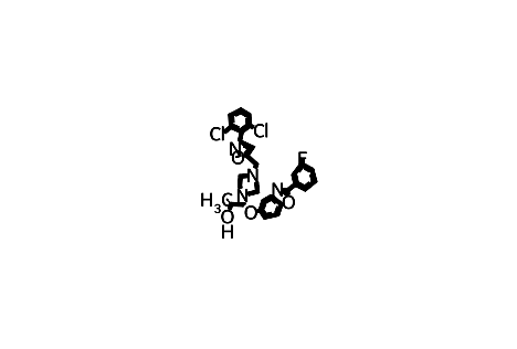 C[C@@H](O)C(Oc1ccc2oc(-c3cccc(F)c3)nc2c1)N1CCN(Cc2cc(-c3c(Cl)cccc3Cl)no2)CC1